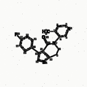 Cc1ccncc1N1CCc2scc(-c3ccc(F)cc3)c2C1=O